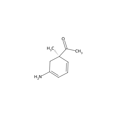 CC(=O)[C@@]1(C)C=CC=C(N)C1